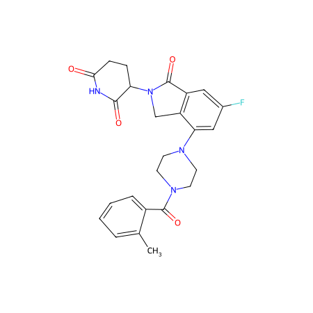 Cc1ccccc1C(=O)N1CCN(c2cc(F)cc3c2CN(C2CCC(=O)NC2=O)C3=O)CC1